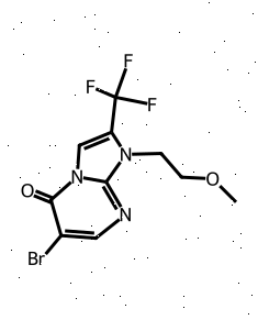 COCCn1c(C(F)(F)F)cn2c(=O)c(Br)cnc12